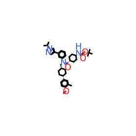 COc1ccc([C@H]2CC[C@H](CN(c3cccc(-c4cnn(C(C)C)c4)c3)C(=O)[C@H]3CC[C@H](NC(=O)OC(C)(C)C)CC3)CC2)cc1C